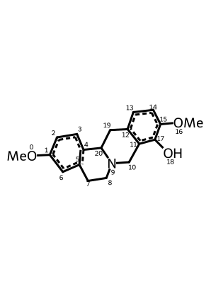 COc1ccc2c(c1)CCN1Cc3c(ccc(OC)c3O)CC21